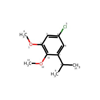 COc1cc(Cl)cc(C(C)C)c1OC